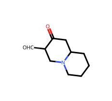 O=CC1CN2CCCCC2CC1=O